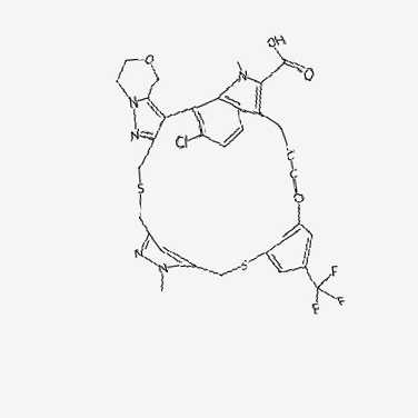 Cn1nc2cc1CSc1cc(cc(C(F)(F)F)c1)OCCCc1c(C(=O)O)n(C)c3c(c(Cl)ccc13)-c1c(nn3c1COCC3)CSC2